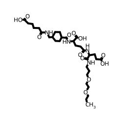 CCCOCCOCCCNC(=O)C(CCC(=O)O)NC(=O)CCC(NC(=O)C1CCC(CNC(=O)CCCCC(=O)O)CC1)C(=O)O